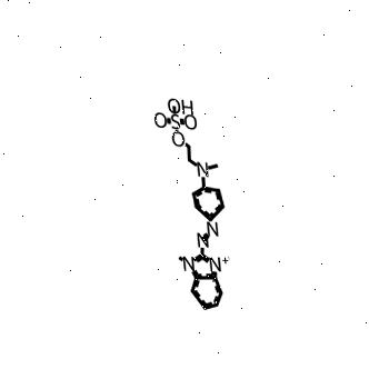 CN(CCOS(=O)(=O)O)c1ccc(N=Nc2n(C)c3ccccc3[n+]2C)cc1